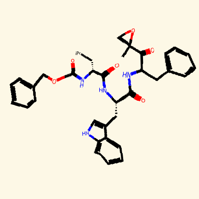 CC(C)C[C@@H](NC(=O)OCc1ccccc1)C(=O)N[C@@H](Cc1c[nH]c2ccccc12)C(=O)NC(Cc1ccccc1)C(=O)C1(C)CO1